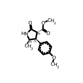 COC(=O)[C@H]1C(=O)N[C@H](C)[C@@H]1c1ccc(OC)cc1